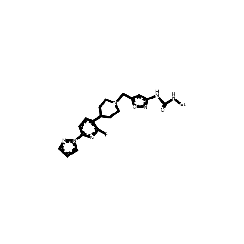 CCNC(=O)Nc1cc(CN2CCC(c3ccc(-n4cccn4)nc3F)CC2)on1